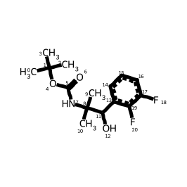 CC(C)(C)OC(=O)NC(C)(C)C(O)c1cccc(F)c1F